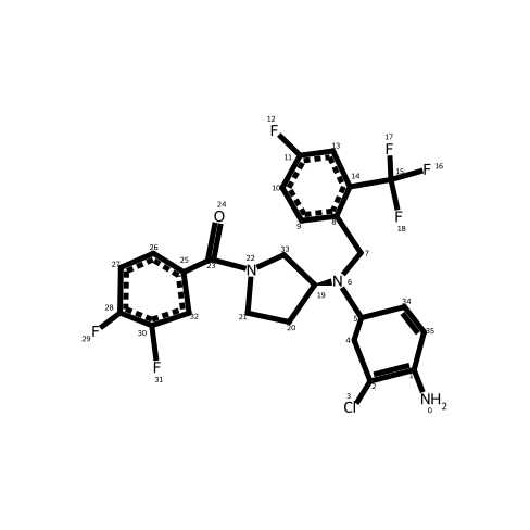 NC1=C(Cl)CC(N(Cc2ccc(F)cc2C(F)(F)F)[C@H]2CCN(C(=O)c3ccc(F)c(F)c3)C2)C=C1